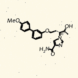 COc1ccc(-c2cccc(OCC[C@H]([C@H](C)O)n3cnc(C(N)=O)c3)c2)cc1